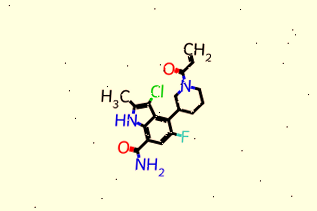 C=CC(=O)N1CCCC(c2c(F)cc(C(N)=O)c3[nH]c(C)c(Cl)c23)C1